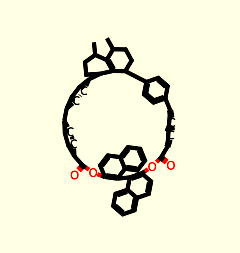 CC1CCC2C3=C=C=C(C=C3)C3=C=C=C(C=C3)C(=O)Oc3ccc4ccccc4c3-c3c(ccc4ccccc34)OC(=O)C3=CC=C(CC3)C3=CC=C(CC3)C3CCC(C)C1=C23